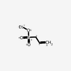 C=CCS(=O)(=O)O[CH]C